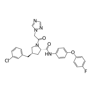 O=C(Nc1ccc(Oc2ccc(F)cc2)cc1)[C@@H]1C[C@@H](Cc2cccc(Cl)c2)CN1C(=O)Cn1cncn1